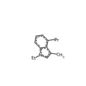 CCn1cc(C)c2c(C(C)C)cccc21